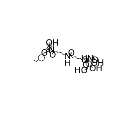 CCC1CCCC(OC[C@@H]2C[C@@H](O)CN2C(=O)CCCCCNC(=O)CCCCCOC2OC(CO)C(O)C(O)C2NC(C)=O)CC1